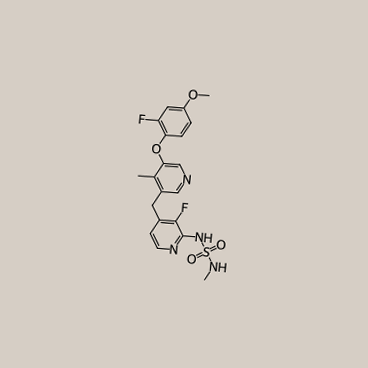 CNS(=O)(=O)Nc1nccc(Cc2cncc(Oc3ccc(OC)cc3F)c2C)c1F